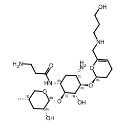 C[C@@H]1CO[C@H](O[C@@H]2[C@@H](O)[C@H](O[C@@H]3CCC=C(CNCCCO)O3)[C@@H](N)C[C@H]2NC(=O)CCN)[C@H](O)C1